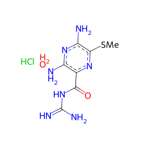 CSc1nc(C(=O)NC(=N)N)c(N)nc1N.Cl.O